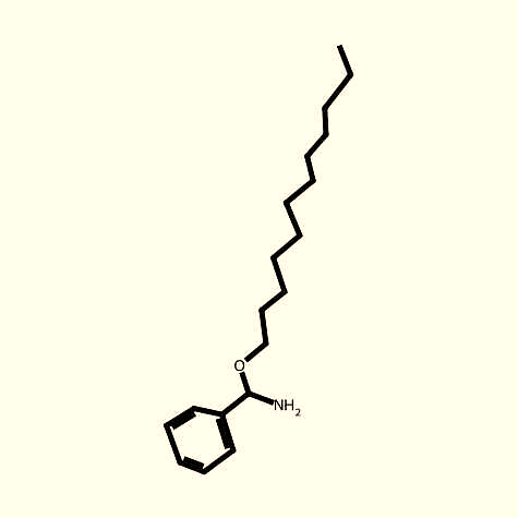 CCCCCCCCCCCCOC(N)c1ccccc1